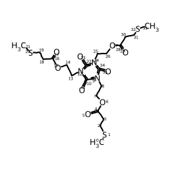 CSCCC(=O)OCCn1c(=O)n(CCOC(=O)CCSC)c(=O)n(CCOC(=O)CCSC)c1=O